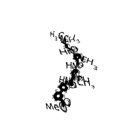 COC(=O)c1cccc(-c2ccc(NC(=O)c3cc(NC(=O)c4cc(NC(=O)CCCN(C)C)cn4C)cn3C)cc2)c1